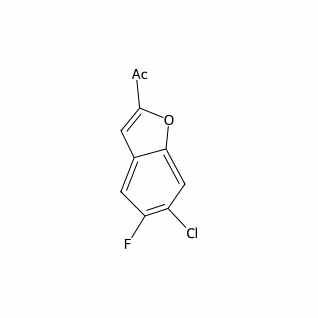 CC(=O)c1cc2cc(F)c(Cl)cc2o1